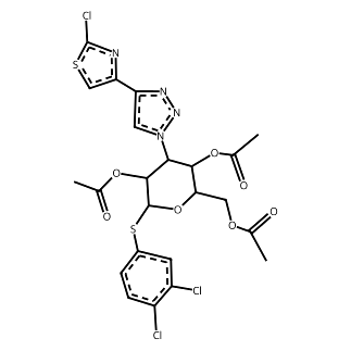 CC(=O)OCC1OC(Sc2ccc(Cl)c(Cl)c2)C(OC(C)=O)C(n2cc(-c3csc(Cl)n3)nn2)C1OC(C)=O